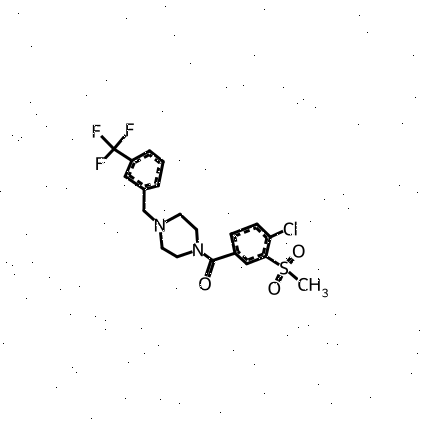 CS(=O)(=O)c1cc(C(=O)N2CCN(Cc3cccc(C(F)(F)F)c3)CC2)ccc1Cl